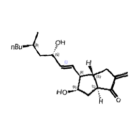 C=C1C[C@H]2[C@H](/C=C/[C@@H](O)C[C@H](C)CCCC)[C@H](O)C[C@@H]2C1=O